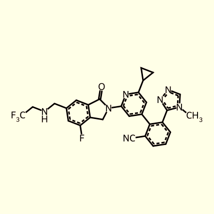 Cn1cnnc1-c1cccc(C#N)c1-c1cc(C2CC2)nc(N2Cc3c(F)cc(CNCC(F)(F)F)cc3C2=O)c1